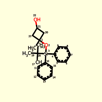 CC1(O[Si](c2ccccc2)(c2ccccc2)C(C)(C)C)CC(O)C1